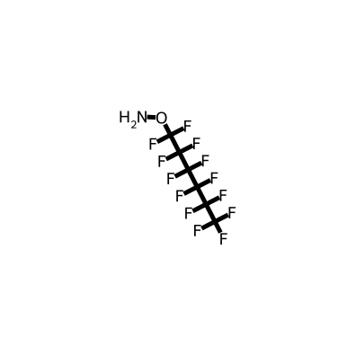 NOC(F)(F)C(F)(F)C(F)(F)C(F)(F)C(F)(F)C(F)(F)F